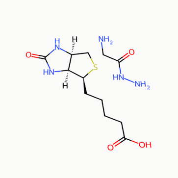 NCC(=O)NN.O=C(O)CCCC[C@@H]1SC[C@@H]2NC(=O)N[C@@H]21